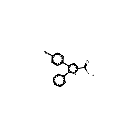 NC(=O)c1cc(-c2ccc(Br)cc2)c(-c2ccccc2)s1